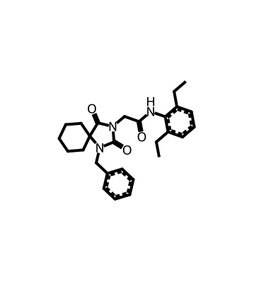 CCc1cccc(CC)c1NC(=O)CN1C(=O)N(Cc2ccccc2)C2(CCCCC2)C1=O